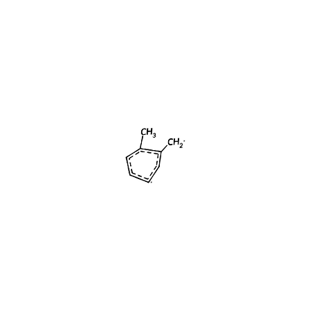 [CH2]c1c[c]ccc1C